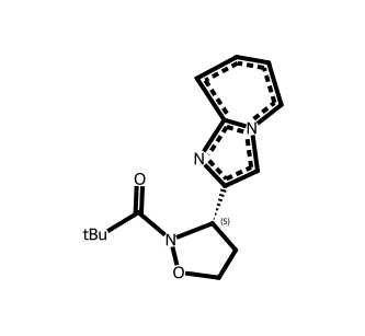 CC(C)(C)C(=O)N1OCC[C@H]1c1cn2ccccc2n1